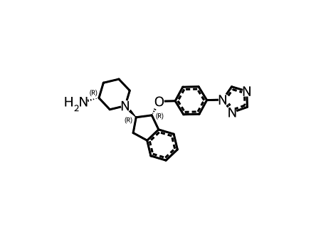 N[C@@H]1CCCN([C@@H]2Cc3ccccc3[C@H]2Oc2ccc(-n3cncn3)cc2)C1